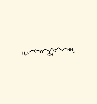 NCCCOCC(O)COCCCN